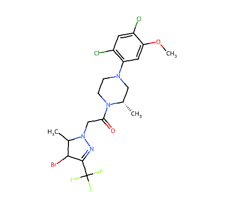 COc1cc(N2CCN(C(=O)CN3N=C(C(F)(F)F)C(Br)C3C)[C@@H](C)C2)c(Cl)cc1Cl